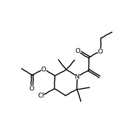 C=C(C(=O)OCC)N1C(C)(C)CC(Cl)C(OC(C)=O)C1(C)C